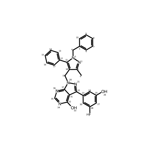 Cc1nn(Cc2ccccc2)c(-c2ccccc2)c1Cn1nc(-c2cc(O)cc(F)c2)c2c(O)ncnc21